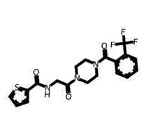 O=C(NCC(=O)N1CCN(C(=O)c2ccccc2C(F)(F)F)CC1)c1cccs1